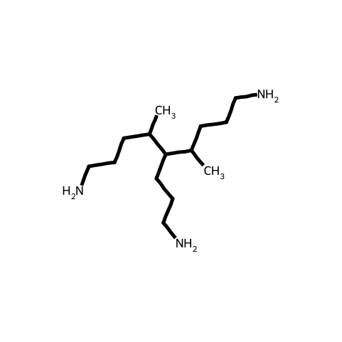 CC(CCCN)C(CCCN)C(C)CCCN